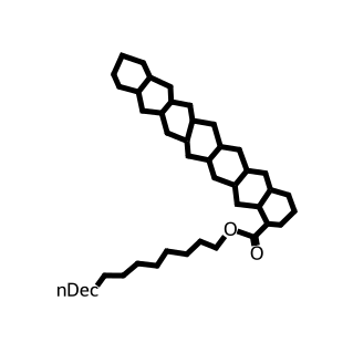 CCCCCCCCCCCCCCCCCCOC(=O)C1CCCC2CC3CC4CC5CC6CC7CCCCC7CC6CC5CC4CC3CC21